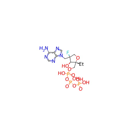 CC[C@]1(COP(=O)(O)OP(=O)(O)OP(=O)(O)O)OC[C@@](F)(Cn2cnc3c(N)ncnc32)[C@@H]1O